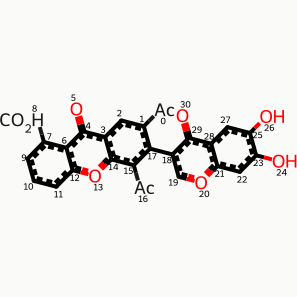 CC(=O)c1cc2c(=O)c3c(C(=O)O)cccc3oc2c(C(C)=O)c1-c1coc2cc(O)c(O)cc2c1=O